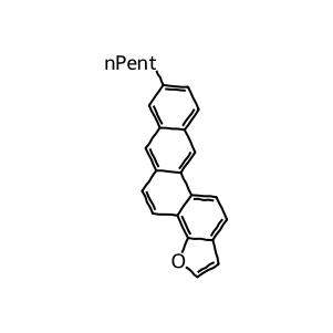 CCCCCc1ccc2cc3c(ccc4c3ccc3ccoc34)cc2c1